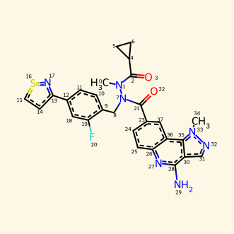 CN(C(=O)C1CC1)N(Cc1ccc(-c2ccsn2)cc1F)C(=O)c1ccc2nc(N)c3cnn(C)c3c2c1